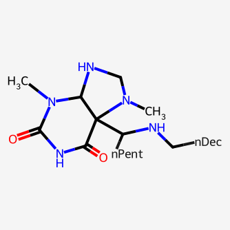 CCCCCCCCCCCNC(CCCCC)C12C(=O)NC(=O)N(C)C1NCN2C